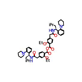 CCOc1cc(CC(=O)N[C@@H](CC(C)C)c2ccccc2N2CCCCC2)ccc1C(=O)OC(=O)c1ccc(CC(=O)N[C@@H](CC(C)C)c2ccccc2N2CCCCC2)cc1OCC